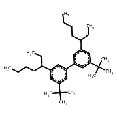 CCCCC(CC)c1cc(-c2[c]c(C(C)(C)C)cc(C(CC)CCCC)c2)[c]c(C(C)(C)C)c1